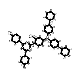 Fc1ccc(-c2nc(-c3ccc(F)cc3)nc(-c3ccc(N(c4ccc(-c5ccccc5)cc4)c4ccc(-c5ccccc5)cc4)cc3Cl)n2)cc1